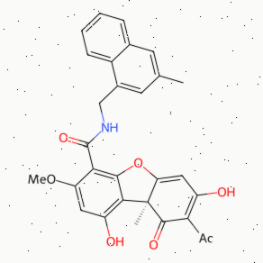 COc1cc(O)c2c(c1C(=O)NCc1cc(C)cc3ccccc13)OC1=CC(O)=C(C(C)=O)C(=O)[C@]12C